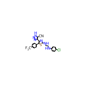 N#Cc1[nH]nnc1-c1nc(NCCNc2ccc(Cl)cc2)sc1-c1ccc(C(F)(F)F)cc1